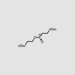 CCCCCCCCCCCCO[PH](=O)CCCCCCCCCCCC